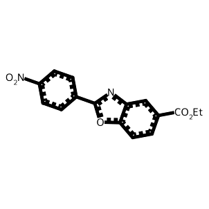 CCOC(=O)c1ccc2oc(-c3ccc([N+](=O)[O-])cc3)nc2c1